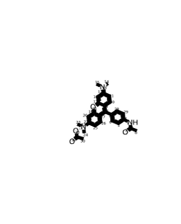 CC(=O)Nc1ccc(-c2c3ccc(=[N+](C)C)cc-3oc3cc(N(C)C)ccc23)cc1.CC(=O)[O-]